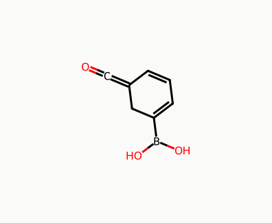 O=C=C1C=CC=C(B(O)O)C1